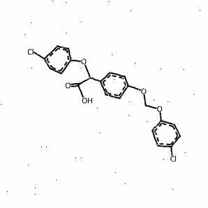 O=C(O)C(Oc1ccc(Cl)cc1)c1ccc(OCOc2ccc(Cl)cc2)cc1